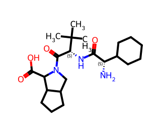 CC(C)(C)[C@H](NC(=O)[C@@H](N)C1CCCCC1)C(=O)N1CC2CCCC2C1C(=O)O